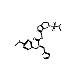 CSc1ccc(CN(Cc2ccco2)C(=O)Oc2noc3c2CN(S(=O)(=O)N(C)C)CC3)cc1